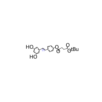 CC(C)(C)OC(=O)CCC(=O)Oc1ccc(/C=C/c2cc(O)cc(O)c2)cc1